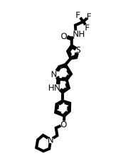 O=C(NCC(F)(F)F)c1cc(-c2cnc3[nH]c(-c4ccc(OCCN5CCCCC5)cc4)cc3c2)cs1